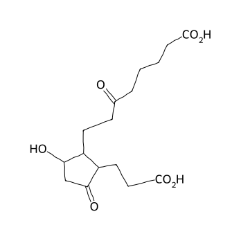 O=C(O)CCCCC(=O)CCC1C(O)CC(=O)C1CCC(=O)O